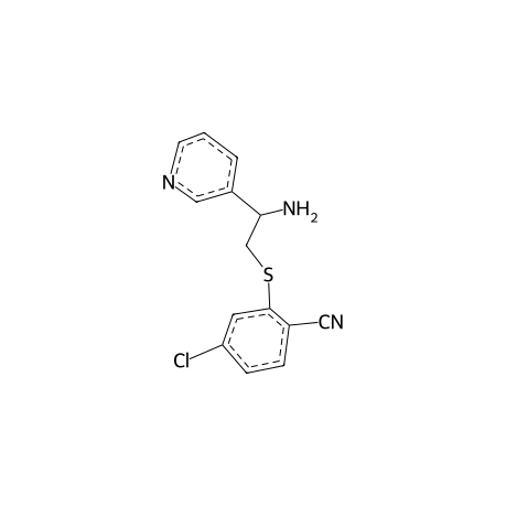 N#Cc1ccc(Cl)cc1SCC(N)c1cccnc1